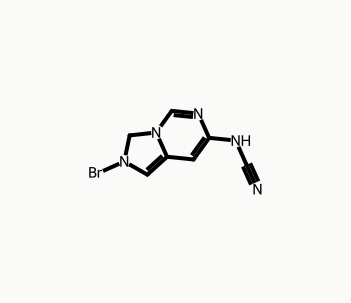 N#CNC1=CC2=CN(Br)CN2C=N1